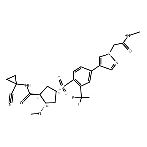 CNC(=O)Cn1cc(-c2ccc(S(=O)(=O)[C@@H]3C[C@H](OC)[C@@H](C(=O)NC4(C#N)CC4)C3)c(C(F)(F)F)c2)cn1